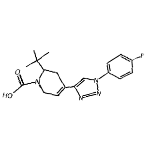 CC(C)(C)C1CC(c2cn(-c3ccc(F)cc3)nn2)=CCN1C(=O)O